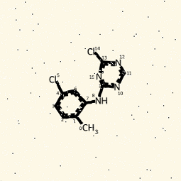 Cc1ccc(Cl)cc1Nc1ncnc(Cl)n1